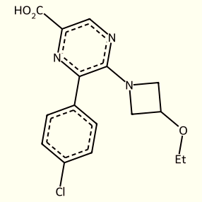 CCOC1CN(c2ncc(C(=O)O)nc2-c2ccc(Cl)cc2)C1